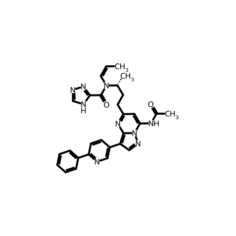 C/C=C\N(C(=O)c1nnc[nH]1)[C@H](C)CCc1cc(NC(C)=O)n2ncc(-c3ccc(-c4ccccc4)nc3)c2n1